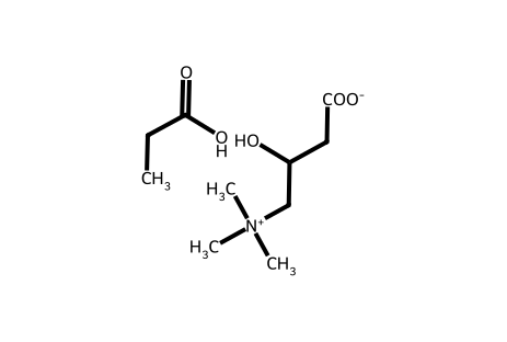 CCC(=O)O.C[N+](C)(C)CC(O)CC(=O)[O-]